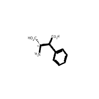 N[C@H](C(=O)O)C(C(=O)O)c1ccccc1